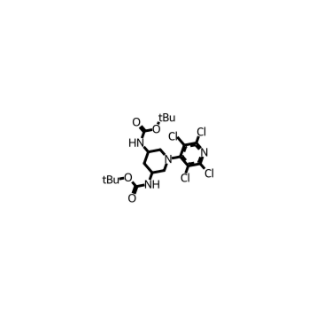 CC(C)(C)OC(=O)NC1CC(NC(=O)OC(C)(C)C)CN(c2c(Cl)c(Cl)nc(Cl)c2Cl)C1